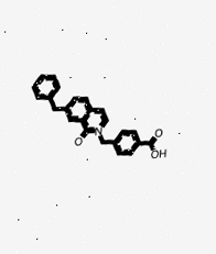 O=C(O)c1ccc(Cn2ccc3ccc(Cc4ccccc4)cc3c2=O)cc1